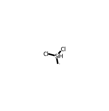 [CH2][SiH](Cl)Cl